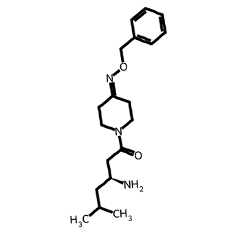 CC(C)C[C@H](N)CC(=O)N1CCC(=NOCc2ccccc2)CC1